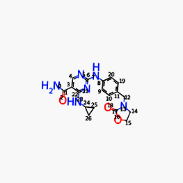 NC(=O)c1cnc(Nc2ccc(CN3CCOC3=O)cc2)nc1NC1CC1